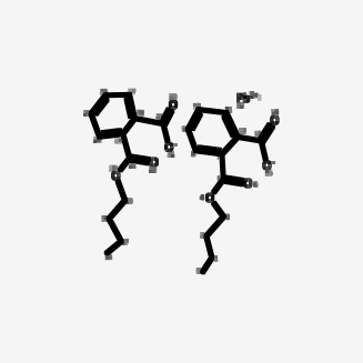 CCCCOC(=O)c1ccccc1C(=O)[O-].CCCCOC(=O)c1ccccc1C(=O)[O-].[Pb+2]